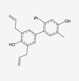 C=CCc1cc(-c2cc(C)c(O)cc2C(C)C)cc(CC=C)c1O